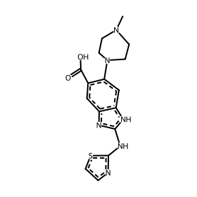 CN1CCN(c2cc3[nH]c(Nc4nccs4)nc3cc2C(=O)O)CC1